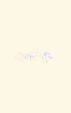 CC(C)(O)C(=O)N1C[C@H](F)[C@H](NC(=O)c2cc(-c3cc(C(F)(F)F)c4c(N)ncnn34)cc(F)c2CF)C1